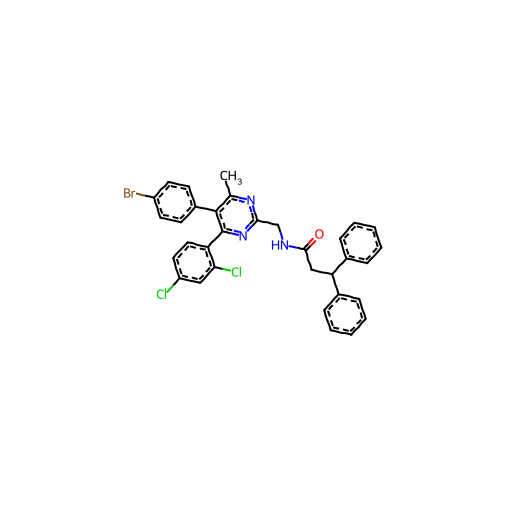 Cc1nc(CNC(=O)CC(c2ccccc2)c2ccccc2)nc(-c2ccc(Cl)cc2Cl)c1-c1ccc(Br)cc1